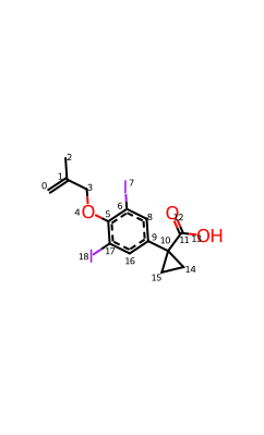 C=C(C)COc1c(I)cc(C2(C(=O)O)CC2)cc1I